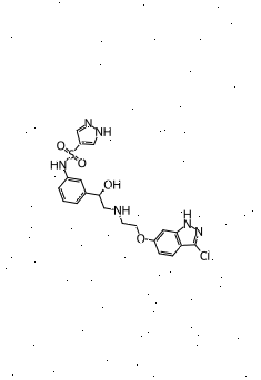 O=S(=O)(Nc1cccc([C@@H](O)CNCCOc2ccc3c(Cl)n[nH]c3c2)c1)c1cn[nH]c1